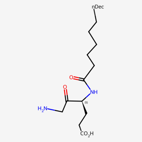 CCCCCCCCCCCCCCCC(=O)N[C@@H](CCC(=O)O)C(=O)CN